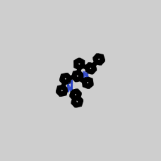 c1ccc(-c2ccc3c(c2)-c2ccccc2-c2cc(-c4cccc(-c5ccccc5Nc5ccc6ccccc6c5)c4)cc4c5ccccc5n-3c24)cc1